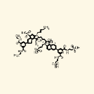 CCCCCN1/C(=C/C=C/C2=[N+](CCCS(=O)(=O)O)c3ccc4cc(-c5cc(C(=O)NCCS(=O)(=O)O)nc(C(=O)NCCS(=O)(=O)O)c5)ccc4c3C2(C)C)C(C)(C)c2c1cc(S(=O)(=O)O)c1cc(-c3cc(C(=O)NCC)nc(C(=O)NCC)c3)ccc21